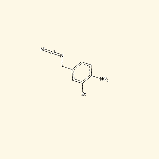 CCc1cc(CN=[N+]=[N-])ccc1[N+](=O)[O-]